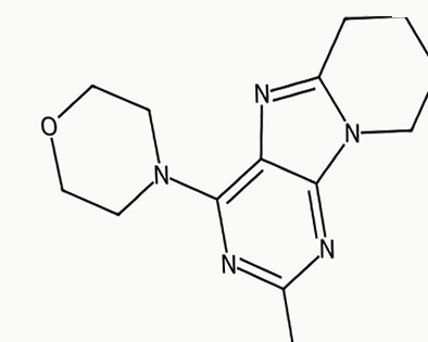 Clc1nc(N2CCOCC2)c2nc3n(c2n1)CCCC3